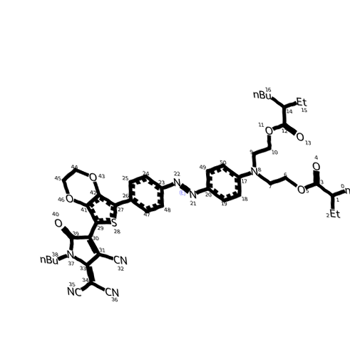 CCCCC(CC)C(=O)OCCN(CCOC(=O)C(CC)CCCC)c1ccc(/N=N/c2ccc(-c3sc(C4=C(C#N)C(=C(C#N)C#N)N(CCCC)C4=O)c4c3OCCO4)cc2)cc1